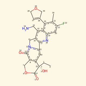 CC[C@@]1(O)C(=O)OCc2c1cc1n(c2=O)Cc2c-1nc1cc(F)c(C)c(C3=CCOC3)c1c2CN